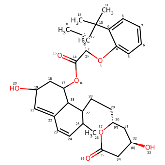 CC[C@H](Oc1ccccc1C(C)(C)C)C(=O)OC1CC(O)C=C2C=CC(C)C(CC[C@@H]3C[C@@H](O)CC(=O)O3)C21